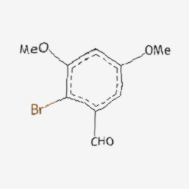 COc1cc(C=O)c(Br)c(OC)c1